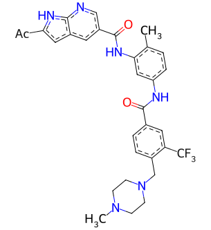 CC(=O)c1cc2cc(C(=O)Nc3cc(NC(=O)c4ccc(CN5CCN(C)CC5)c(C(F)(F)F)c4)ccc3C)cnc2[nH]1